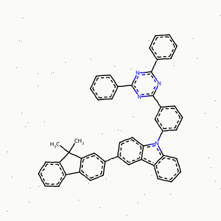 CC1(C)c2ccccc2-c2ccc(-c3ccc4c(c3)c3ccccc3n4-c3cccc(-c4nc(-c5ccccc5)nc(-c5ccccc5)n4)c3)cc21